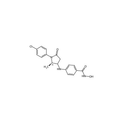 C[C@@H]1C(Nc2ccc(C(=O)NO)cc2)CC(=O)N1c1ccc(Cl)cc1